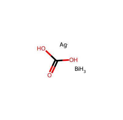 O=C(O)O.[Ag].[BiH3]